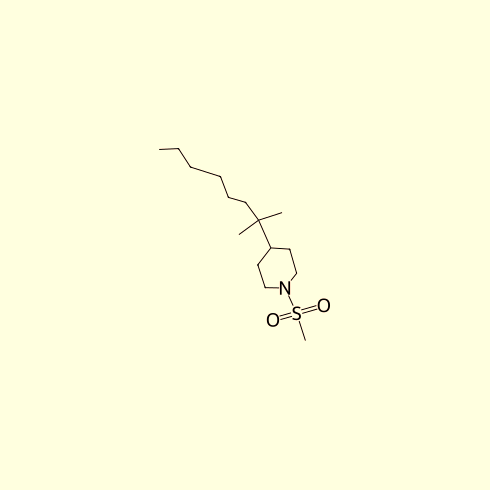 CCCCCCC(C)(C)C1CCN(S(C)(=O)=O)CC1